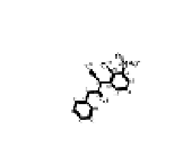 N#CC(C(=O)Cc1ccccc1)c1cccc([N+](=O)[O-])c1Cl